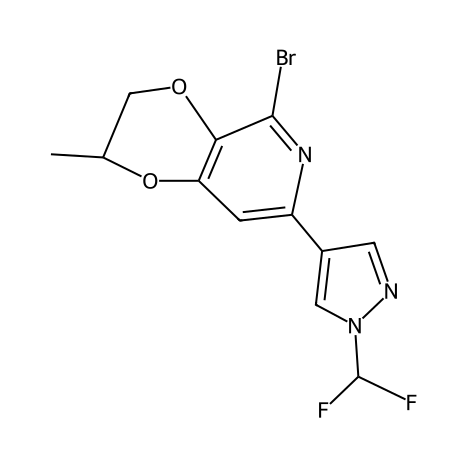 CC1COc2c(cc(-c3cnn(C(F)F)c3)nc2Br)O1